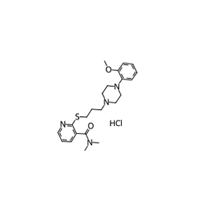 COc1ccccc1N1CCN(CCCSc2ncccc2C(=O)N(C)C)CC1.Cl